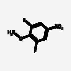 O=[N+]([O-])c1cc(F)c(OP)c(F)c1